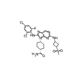 CS(=O)(=O)C1CC(Nc2ncc3nc(Nc4c(F)cc(Cl)cc4Cl)n([C@H]4CC[C@@H](C(N)=O)CC4)c3n2)C1